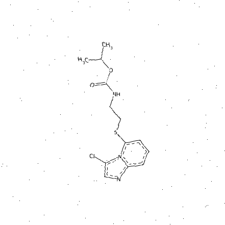 CC(C)OC(=O)NCCSc1cccc2ncc(Cl)n12